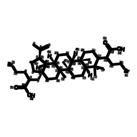 C=C(C)[C@@H]1CC[C@]2(CC(CCBr)C(=O)O)CC[C@]3(C)[C@H](CC[C@@H]4[C@@]5(C)CCC(C(CCBr)C(=O)O)C(C)(C)[C@@H]5CC[C@]43C)[C@@H]12